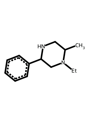 CCN1CC(c2ccccc2)NCC1C